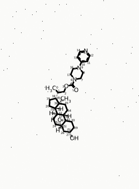 CC(COC(=O)N1CCN(c2ccncc2)CC1)[C@H]1CC[C@H]2[C@@H]3CC[C@H]4C[C@@H](O)CC[C@]4(C)[C@H]3CC[C@]12C